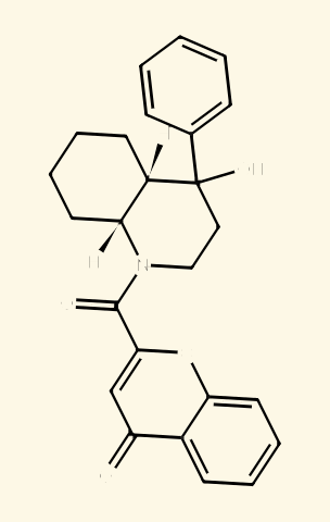 O=C(c1cc(=O)c2ccccc2o1)N1CCC(O)(c2ccccc2)[C@H]2CCCC[C@H]21